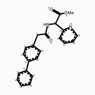 COC(=O)C(NC(=O)Cc1ccc(-c2ccccc2)cc1)c1ccccn1